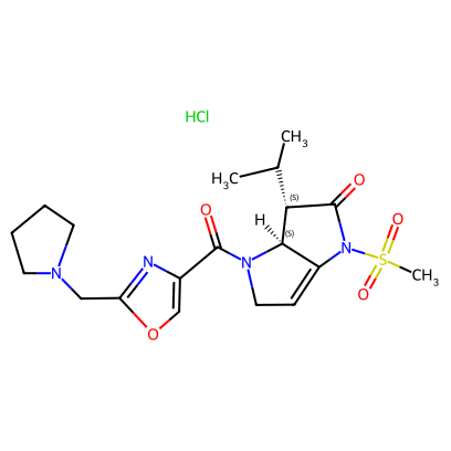 CC(C)[C@@H]1C(=O)N(S(C)(=O)=O)C2=CCN(C(=O)c3coc(CN4CCCC4)n3)[C@H]21.Cl